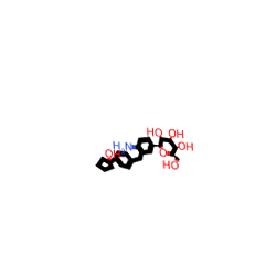 Nc1ccc([C@@H]2O[C@H](CO)[C@@H](O)[C@H](O)[C@H]2O)cc1Cc1ccc(C2(O)CCCC2)cc1